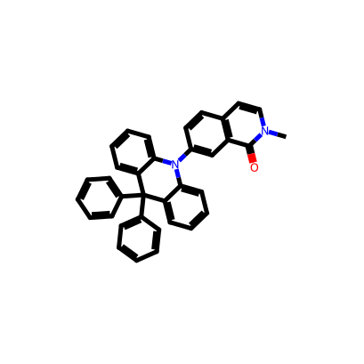 Cn1ccc2ccc(N3c4ccccc4C(c4ccccc4)(c4ccccc4)c4ccccc43)cc2c1=O